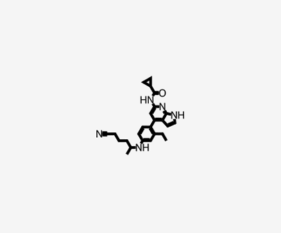 CCc1cc(NC(C)CCCC#N)ccc1-c1cc(NC(=O)C2CC2)nc2[nH]ccc12